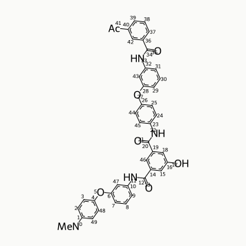 CNc1ccc(Oc2cccc(NC(=O)c3cc(O)cc(C(=O)Nc4ccc(Oc5cccc(NC(=O)c6cccc(C(C)=O)c6)c5)cc4)c3)c2)cc1